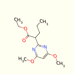 CCCC(C(=O)OCC)c1nc(OC)cc(OC)n1